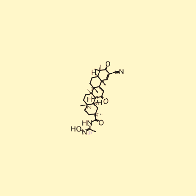 C/C(=N/O)NC(=O)[C@@]1(C)CC[C@]2(C)CC[C@]3(C)[C@H](C(=O)C=C4[C@@]5(C)C=C(C#N)C(=O)C(C)(C)[C@@H]5CC[C@]43C)[C@@H]2C1